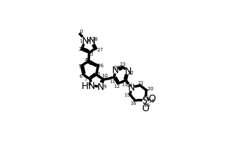 Cn1cc(-c2ccc3[nH]nc(-c4cc(N5CCS(=O)(=O)CC5)ncn4)c3c2)cn1